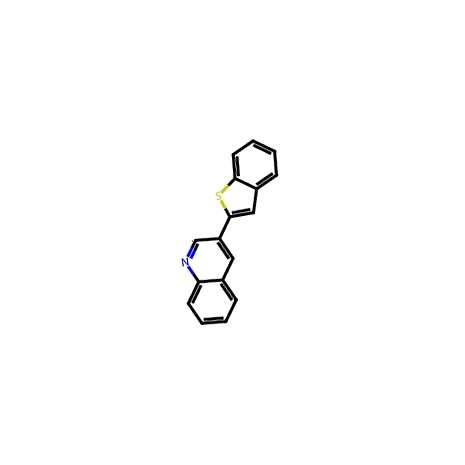 [c]1nc2ccccc2cc1-c1cc2ccccc2s1